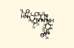 C=CC(=O)Nc1ccc2c(c1)c(C)cn2-c1nc(Nc2ccc(N=S(C)(C)=O)cc2)ncc1Cl